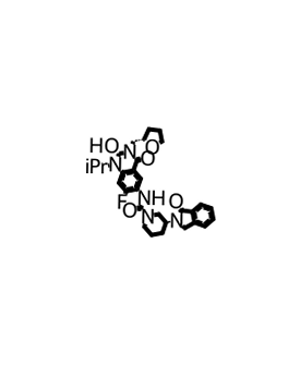 CC(C)N1c2cc(F)c(NC(=O)N3CCC[C@@H](N4Cc5ccccc5C4=O)C3)cc2C(=O)N(C[C@@H]2CCCO2)C1O